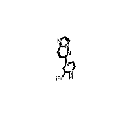 CC(C)C1CN(c2ccc3nccn3n2)CCN1